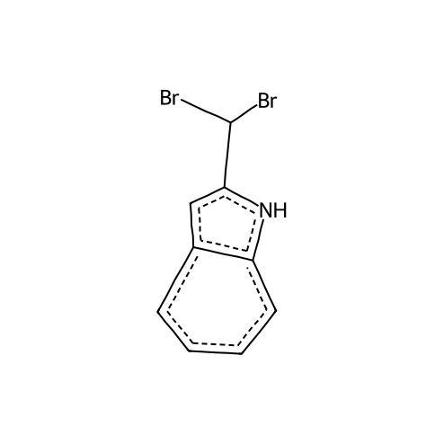 BrC(Br)c1cc2ccccc2[nH]1